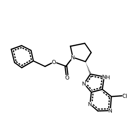 O=C(OCc1ccccc1)N1CCC[C@@H]1c1nc2ncnc(Cl)c2[nH]1